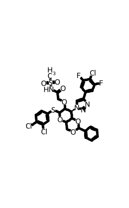 CS(=O)(=O)NC(=O)COC1C(Sc2ccc(Cl)c(Cl)c2)OC2COC(c3ccccc3)OC2[C@@H]1n1cc(-c2cc(F)c(Cl)c(F)c2)nn1